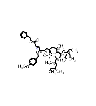 CC[C@H](C)C[C@H](C)[C@@H]1C[C@H](O[Si](CC)(CC)CC)[C@H]([C@@H](C)CC(=O)C[C@H](C)[C@@H](/C=C/C(=O)OCc2ccccc2)OCc2ccc(OC)cc2)O1